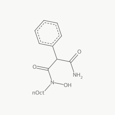 CCCCCCCCN(O)C(=O)C(C(N)=O)c1ccccc1